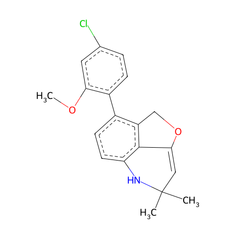 COc1cc(Cl)ccc1-c1ccc2c3c1COC3=CC(C)(C)N2